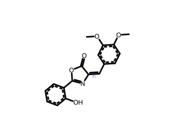 COc1ccc(/C=C2/N=C(c3ccccc3O)OC2=O)cc1OC